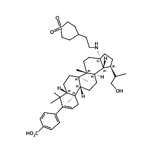 CC(CO)[C@@H]1CC[C@]2(NCCC3CCS(=O)(=O)CC3)CC[C@]3(C)[C@H](CC[C@@H]4[C@@]5(C)CC=C(c6ccc(C(=O)O)cc6)C(C)(C)[C@@H]5CC[C@]43C)[C@@H]12